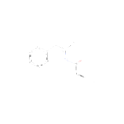 C=CC(=O)N[C@@H](Cc1ccccc1)C(C)=O